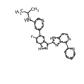 CC(C)Nc1cncc(-c2cc3c(-c4nc5c(-c6ccccn6)nccc5[nH]4)n[nH]c3cc2F)c1